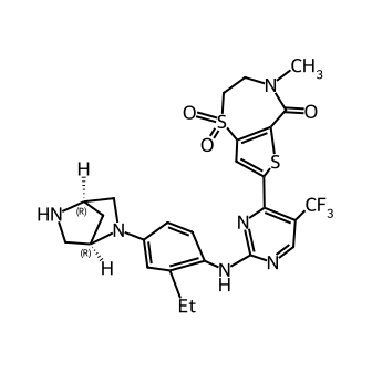 CCc1cc(N2C[C@H]3C[C@@H]2CN3)ccc1Nc1ncc(C(F)(F)F)c(-c2cc3c(s2)C(=O)N(C)CCS3(=O)=O)n1